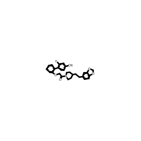 N#Cc1ccc(-c2ccccc2OCC(=O)N2CCC(CCc3ccc4c(c3)OCO4)CC2)c(F)c1